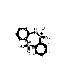 O=S1(=O)Nc2ccccc2S(=O)(=O)c2ccccc21